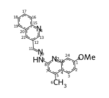 COc1ccc2c(C)cc(NN=Cc3cnc4ccccc4c3)nc2c1